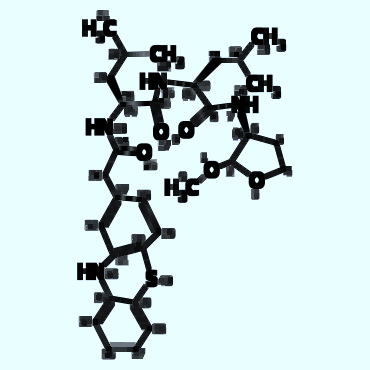 COC1OCC[C@@H]1NC(=O)[C@H](CC(C)C)NC(=O)[C@H](CC(C)C)NC(=O)Cc1ccc2c(c1)Nc1ccccc1S2